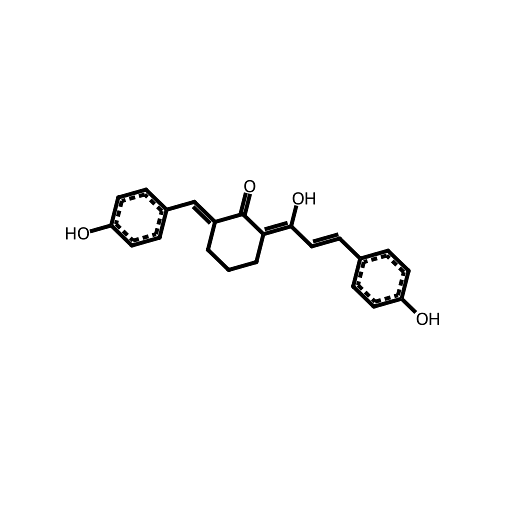 O=C1/C(=C(O)/C=C/c2ccc(O)cc2)CCC/C1=C\c1ccc(O)cc1